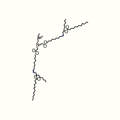 CCCCCCCCCCCC(=O)OC(C/C=C\CCCCCCCCOC(=O)CCN(CCCN(CC)CC)CCC(=O)OCCCCCCCC/C=C\CC(CCCCCC)OC(=O)CCCCCCCCCCC)CCCCCC